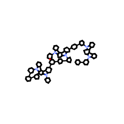 c1ccc(-c2cccc(-n3c4ccccc4c4c5c6ccccc6n(-c6cccc(-c7ccc(-c8ccc9c%10c%11c%12ccccc%12n(-c%12ccccc%12)c%11ccc%10n(-c%10ccccc%10-c%10ccc(-c%11cccc(-c%12ccc%13c(c%12)c%12c%14c%15ccccc%15n(-c%15cccc(-c%16ccccc%16-c%16ccccc%16)c%15)c%14ccc%12n%13-c%12ccccc%12)c%11)cc%10)c9c8)cc7)c6)c5ccc43)c2)cc1